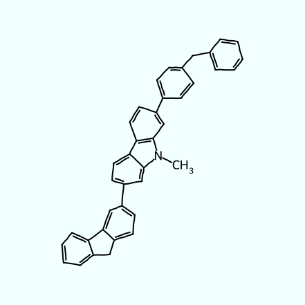 Cn1c2cc(-c3ccc(Cc4ccccc4)cc3)ccc2c2ccc(-c3ccc4c(c3)-c3ccccc3C4)cc21